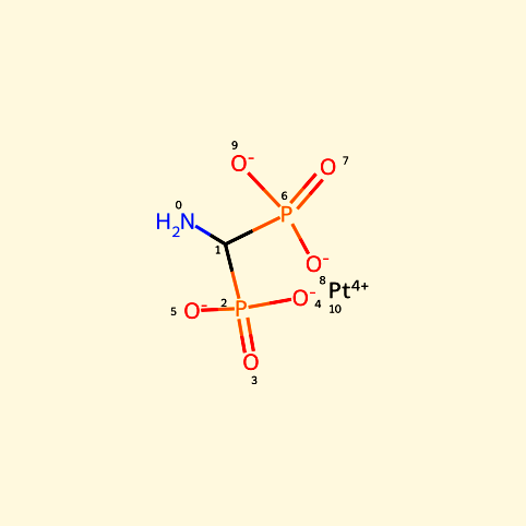 NC(P(=O)([O-])[O-])P(=O)([O-])[O-].[Pt+4]